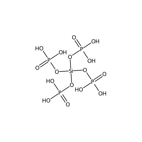 O=P(O)(O)O[Si](OP(=O)(O)O)(OP(=O)(O)O)OP(=O)(O)O